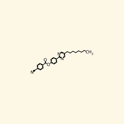 CCCCCCCCc1cnc(-c2ccc(OC(=O)c3ccc(C#N)cc3)cc2)nc1